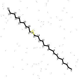 CCCCCCCCCCCCCCCCSCCCCCCCCCC